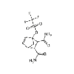 NC(=O)C1C2C=CC(OS(=O)(=O)C(F)(F)F)(C2)C1C(N)=O